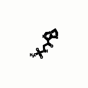 CS(=O)(=O)NCC(=O)c1ncn2ccsc12